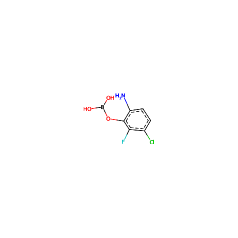 Nc1ccc(Cl)c(F)c1OB(O)O